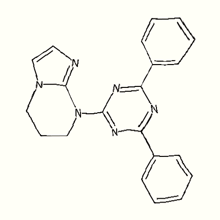 c1ccc(-c2nc(-c3ccccc3)nc(N3CCCn4ccnc43)n2)cc1